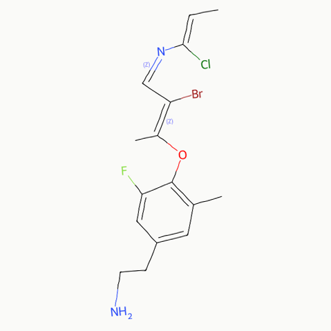 CC=C(Cl)/N=C\C(Br)=C(/C)Oc1c(C)cc(CCN)cc1F